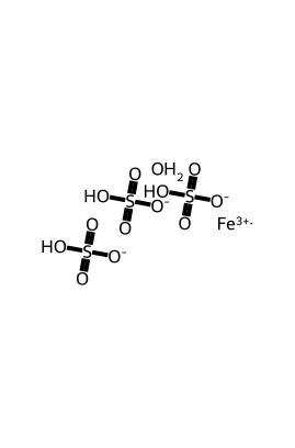 O.O=S(=O)([O-])O.O=S(=O)([O-])O.O=S(=O)([O-])O.[Fe+3]